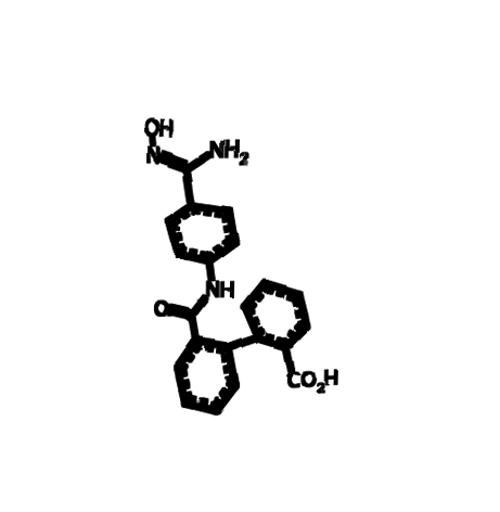 NC(=NO)c1ccc(NC(=O)c2ccccc2-c2ccccc2C(=O)O)cc1